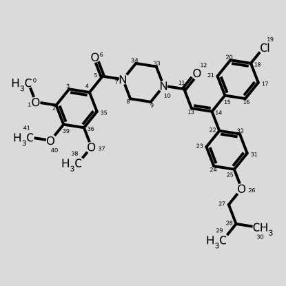 COc1cc(C(=O)N2CCN(C(=O)C=C(c3ccc(Cl)cc3)c3ccc(OCC(C)C)cc3)CC2)cc(OC)c1OC